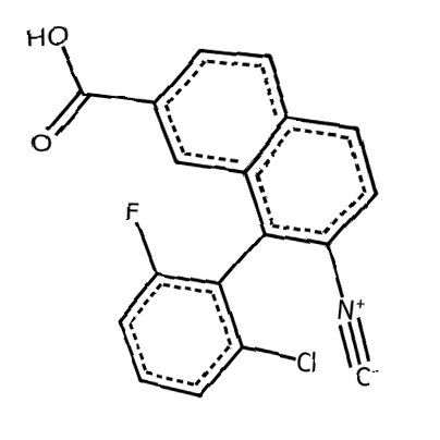 [C-]#[N+]c1ccc2ccc(C(=O)O)cc2c1-c1c(F)cccc1Cl